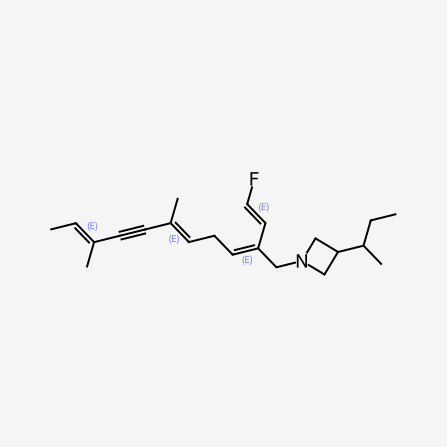 C/C=C(\C)C#C/C(C)=C/C/C=C(\C=C\F)CN1CC(C(C)CC)C1